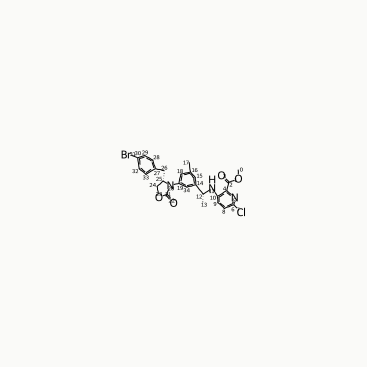 COC(=O)c1nc(Cl)ccc1N[C@H](C)c1cc(C)cc(N2C(=O)OC[C@@H]2Cc2ccc(Br)cc2)c1